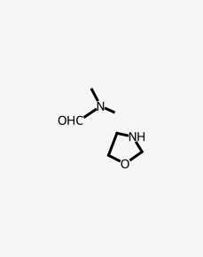 C1COCN1.CN(C)C=O